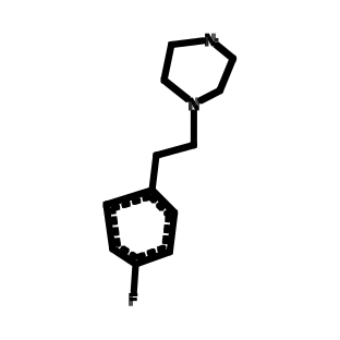 Fc1ccc(CCN2CC[N]CC2)cc1